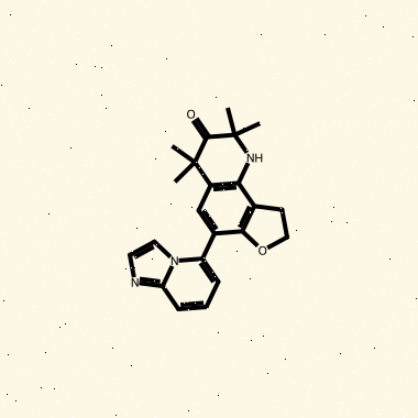 CC1(C)Nc2c(cc(-c3cccc4nccn34)c3c2CCO3)C(C)(C)C1=O